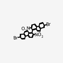 O=[N+]([O-])c1ccc2c(ccc3cc(Br)ccc32)c1-c1c([N+](=O)[O-])ccc2c1ccc1cc(Br)ccc12